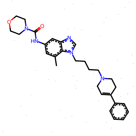 Cc1cc(NC(=O)N2CCOCC2)cc2ncn(CCCCN3CC=C(c4ccccc4)CC3)c12